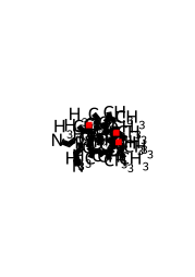 CCC(C)O[Si](OC(C)CC)(OC(C)CC)O[Si](C)(O[Si](OC(C)CC)(OC(C)CC)OC(C)CC)O[Si](OC(C)CC)(OC(C)CC)OP(CCC#N)CCC#N